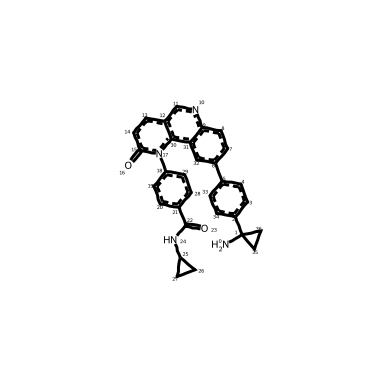 NC1(c2ccc(-c3ccc4ncc5ccc(=O)n(-c6ccc(C(=O)NC7CC7)cc6)c5c4c3)cc2)CC1